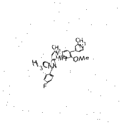 COc1cc(Nc2nc(C)cc3c2nc(-c2ccc(F)cc2)n3C)ccc1-c1ccnc(C)c1